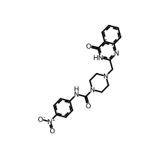 O=C(Nc1ccc([N+](=O)[O-])cc1)N1CCN(Cc2nc3ccccc3c(=O)[nH]2)CC1